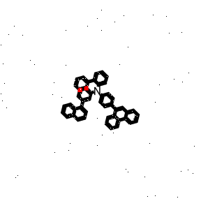 c1ccc(-c2ccccc2N(c2ccc(-c3cc4ccccc4c4ccccc34)cc2)c2cccc(-c3cccc4ccccc34)c2)cc1